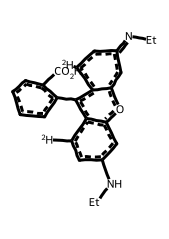 [2H]c1c/c(=N/CC)cc2oc3cc(NCC)cc([2H])c3c(-c3ccccc3C(=O)O)c1-2